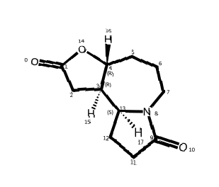 O=C1C[C@H]2[C@@H](CCCN3C(=O)CC[C@@H]23)O1